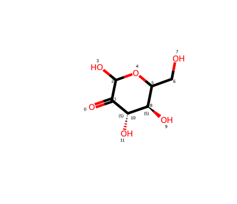 O=C1C(O)OC(CO)[C@@H](O)[C@@H]1O